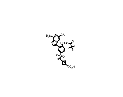 Cc1ccc(S(=O)(=O)NC23CC(C(=O)O)(C2)C3)cc1-c1cnc2c(N)nc(C(F)(F)F)cn12.O=C(O)C(F)(F)F